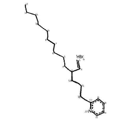 Br.C=CC(CCCCCCCCCC)CCCc1ccccn1